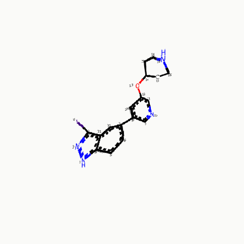 Ic1n[nH]c2ccc(-c3cncc(OC4CCNCC4)c3)cc12